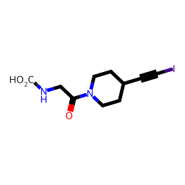 O=C(O)NCC(=O)N1CCC(C#CI)CC1